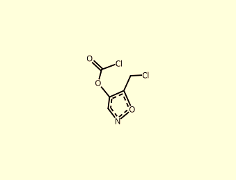 O=C(Cl)Oc1cnoc1CCl